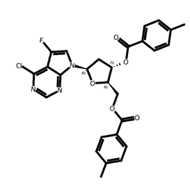 Cc1ccc(C(=O)OC[C@H]2O[C@@H](n3cc(F)c4c(Cl)ncnc43)C[C@@H]2OC(=O)c2ccc(C)cc2)cc1